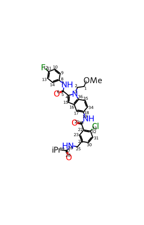 COCCn1c(C(=O)Nc2ccc(F)cc2)cc2cc(NC(=O)c3cc(CNC(=O)C(C)C)ccc3Cl)ccc21